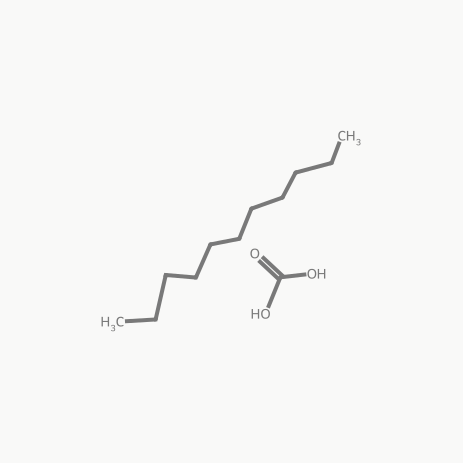 CCCCCCCCCCC.O=C(O)O